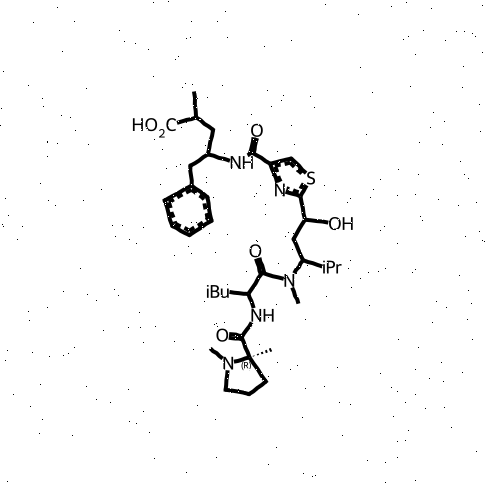 CCC(C)C(NC(=O)[C@@]1(C)CCCN1C)C(=O)N(C)C(CC(O)c1nc(C(=O)NC(Cc2ccccc2)CC(C)C(=O)O)cs1)C(C)C